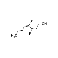 CCC/C=C(Br)\C(F)=C/CO